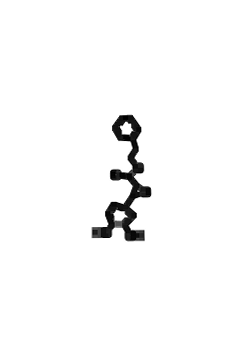 O=C(OCCc1ccccc1)C1OC1c1ccc(O)c(O)c1